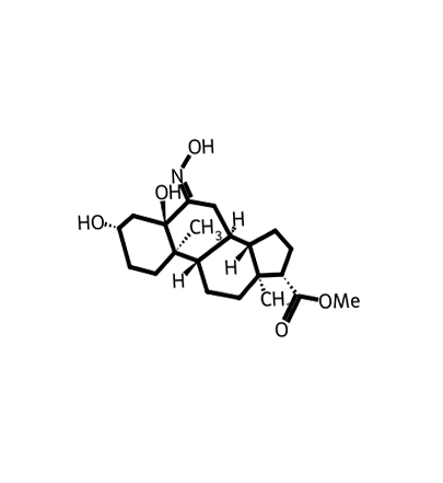 COC(=O)[C@H]1CC[C@H]2[C@@H]3CC(=NO)[C@@]4(O)C[C@@H](O)CC[C@]4(C)[C@H]3CC[C@]12C